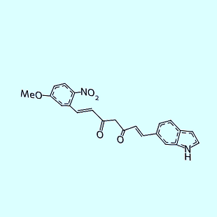 COc1ccc([N+](=O)[O-])c(C=CC(=O)CC(=O)C=Cc2ccc3cc[nH]c3c2)c1